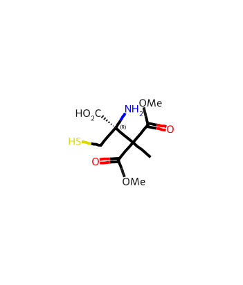 COC(=O)C(C)(C(=O)OC)[C@](N)(CS)C(=O)O